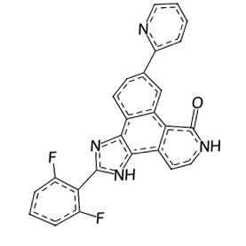 O=c1[nH]ccc2c3[nH]c(-c4c(F)cccc4F)nc3c3ccc(-c4ccccn4)cc3c12